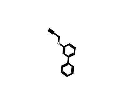 C#CCOc1cccc(-c2ccccc2)c1